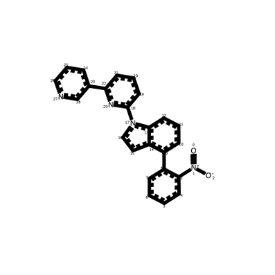 O=[N+]([O-])c1ccccc1-c1cccc2c1ccn2-c1cccc(-c2cccnc2)n1